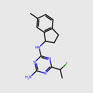 Cc1ccc2c(c1)C(Nc1nc(N)nc(C(C)F)n1)CC2